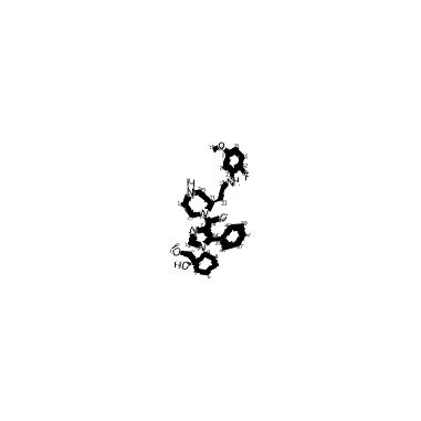 COC[C@]1(O)CCCC[C@H]1n1cnc(C(=O)N2CCNC[C@H]2CCNc2cc(OC)ccc2F)c1-c1ccccc1